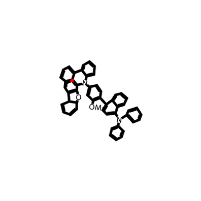 COc1cc(N(c2ccccc2-c2ccccc2)c2cccc3c2OC2C=CC=CC32)ccc1-c1ccc(N(c2ccccc2)c2ccccc2)c2ccccc12